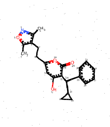 Cc1noc(C)c1CCc1cc(O)c(C(c2ccccc2)C2CC2)c(=O)o1